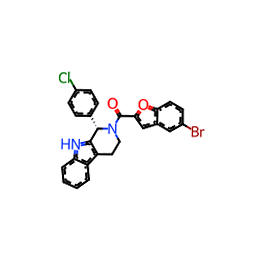 O=C(c1cc2cc(Br)ccc2o1)N1CCc2c([nH]c3ccccc23)[C@@H]1c1ccc(Cl)cc1